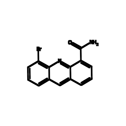 NC(=O)c1cccc2cc3cccc(Br)c3nc12